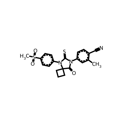 Cc1cc(N2C(=O)C3(CCC3)N(c3ccc(S(C)(=O)=O)cc3)C2=S)ccc1C#N